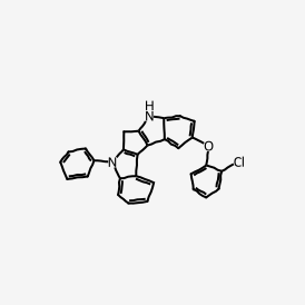 Clc1ccccc1Oc1ccc2[nH]c3c(c2c1)-c1c(n(-c2ccccc2)c2ccccc12)C3